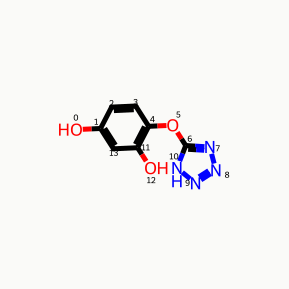 Oc1ccc(Oc2nnn[nH]2)c(O)c1